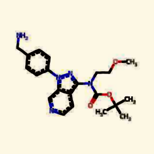 COCCN(C(=O)OC(C)(C)C)c1nn(-c2ccc(CN)cc2)c2cnccc12